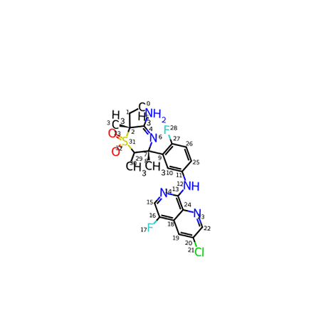 CC[C@]1(C)C(N)=N[C@](C)(c2cc(Nc3ncc(F)c4cc(Cl)cnc34)ccc2F)C(C)S1(=O)=O